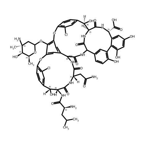 CC(C)C[C@H](N)C(=O)N[C@H]1C(=O)N[C@@H](CC(N)=O)C(=O)N[C@H]2C(=O)NC3C(=O)N[C@H](C(=O)N[C@H](C(=O)O)c4cc(O)cc(O)c4-c4cc3ccc4O)[C@H](O)c3ccc(c(Cl)c3)Oc3cc2cc(c3OC2C[C@](C)(N)[C@H](O)[C@H](C)O2)Oc2ccc(cc2Cl)[C@H]1O